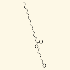 CCCCCCCCCCCCCCCC(=O)OCCCCCC=O